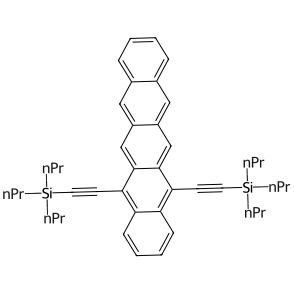 CCC[Si](C#Cc1c2ccccc2c(C#C[Si](CCC)(CCC)CCC)c2cc3cc4ccccc4cc3cc12)(CCC)CCC